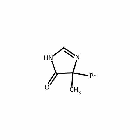 CC(C)C1(C)N=[C]NC1=O